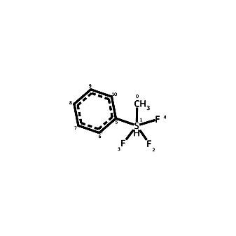 C[SH](F)(F)(F)c1[c]cccc1